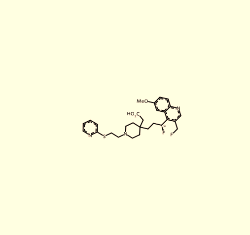 COc1ccc2ncc(CF)c([C@@H](F)CCC3(CC(=O)O)CCN(CCSc4ccccn4)CC3)c2c1